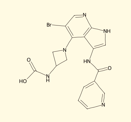 O=C(O)NC1CN(c2c(Br)cnc3[nH]cc(NC(=O)c4cccnc4)c23)C1